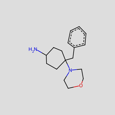 NC1CCC(Cc2ccccc2)(N2CCOCC2)CC1